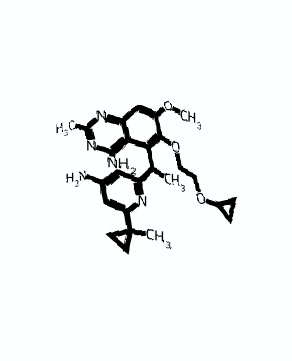 COc1cc2nc(C)nc(N)c2c(C(C)c2cc(N)cc(C3(C)CC3)n2)c1OCCOC1CC1